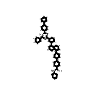 N=C(Nc1ccccc1)c1ccc(-c2ccc(-c3cccc4c(-c5cccc(C6=NC(c7ccc(-c8ccccc8)cc7)NC(c7ccccc7)=N6)c5)cccc34)cc2)cc1